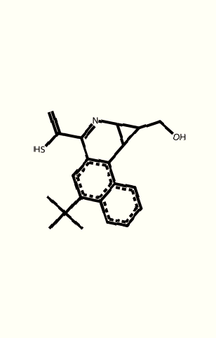 C=C(S)C1=NC2C(CO)C2c2c1cc(C(C)(C)C)c1ccccc21